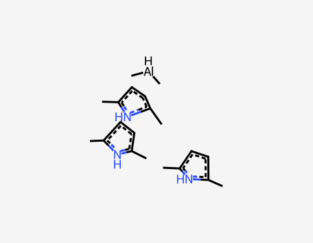 Cc1ccc(C)[nH]1.Cc1ccc(C)[nH]1.Cc1ccc(C)[nH]1.[CH3][AlH][CH3]